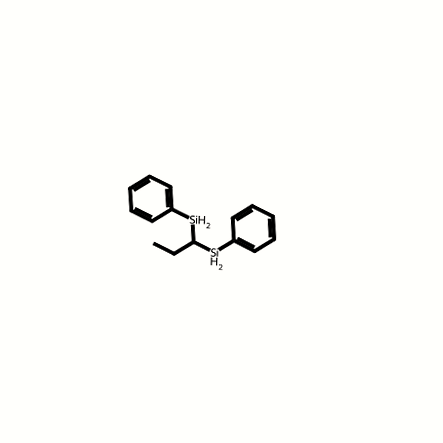 CCC([SiH2]c1ccccc1)[SiH2]c1ccccc1